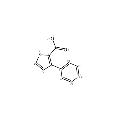 O=C(O)c1sccc1-c1ccncc1